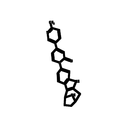 Cc1ccc(-c2ccn(-c3ccc4c5c([nH]c4c3)CC3CCC5N3)c(=O)c2)cn1